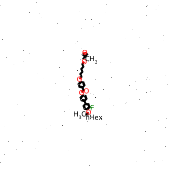 CCCCCC[C@@H](C)Oc1ccc(-c2ccc(OC(=O)c3ccc(OCCCCCCOCC4(C)COC4)cc3)cc2)cc1F